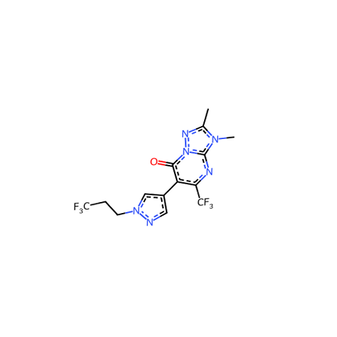 Cc1nn2c(=O)c(-c3cnn(CCC(F)(F)F)c3)c(C(F)(F)F)nc2n1C